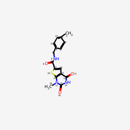 Cc1ccc(CNC(=O)c2cc3c(=O)[nH]c(=O)n(C)c3s2)cc1